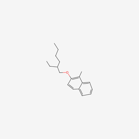 CCCCC(CC)COc1ccc2ccccc2c1C